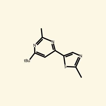 Cc1nc(-c2cnc(C)s2)cc(C(C)(C)C)n1